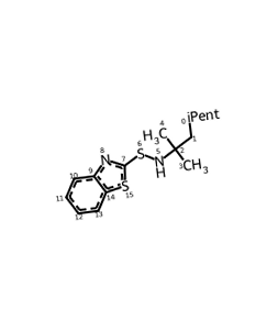 CCCC(C)CC(C)(C)NSc1nc2ccccc2s1